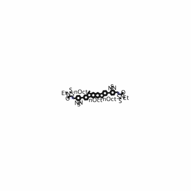 CCCCCCCCC1(C)c2cc(-c3ccc(/C=C4\SC(=S)N(CC)C4=O)c4nsnc34)ccc2-c2cc3cc4c(cc3cc21)-c1ccc(-c2ccc(/C=C3\SC(=S)N(CC)C3=O)c3nsnc23)cc1C4(CCCCCCCC)CCCCCCCC